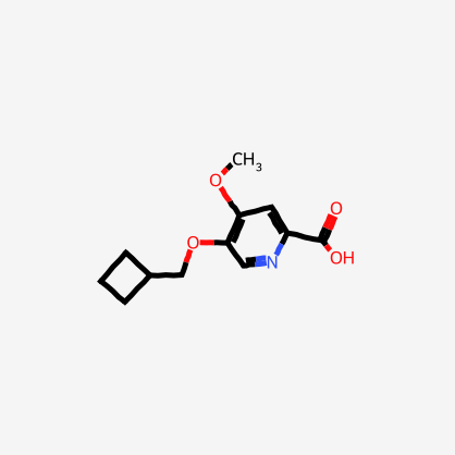 COc1cc(C(=O)O)ncc1OCC1CCC1